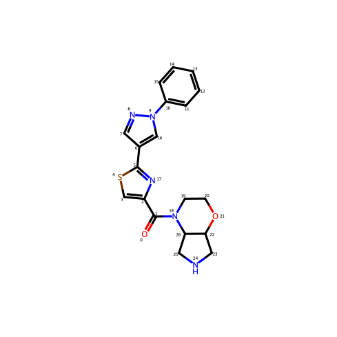 O=C(c1csc(-c2cnn(-c3ccccc3)c2)n1)N1CCOC2CNCC21